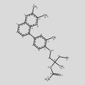 Cc1nc2nccc(-c3ccc(OCC(C)(CC(C)C)OC(N)=O)c(C#N)c3)c2nc1C